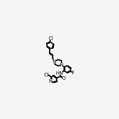 O=C(Nc1cc(F)ccc1N1CCN(C/C=C/c2ccc(Cl)cc2)CC1)c1ccnc(Cl)c1